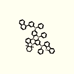 CC12CCCCC1(C)N1c3cc(N(c4ccccc4)c4cccc5c4oc4ccccc45)cc4c3B(c3ccc(N(c5ccccc5)c5cccc(-c6cccc7ccccc67)c5)cc3N4c3ccccc3)c3cccc2c31